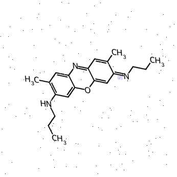 CCC/N=c1/cc2oc3cc(NCCC)c(C)cc3nc-2cc1C